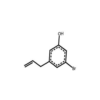 C=CCc1cc(O)cc(Br)c1